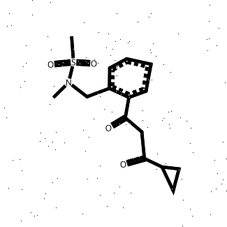 CN(Cc1ccccc1C(=O)CC(=O)C1CC1)S(C)(=O)=O